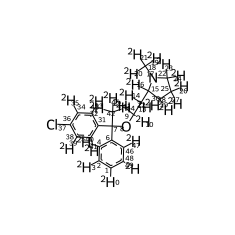 [2H]c1c([2H])c([2H])c(C(OC([2H])([2H])C([2H])([2H])C2([2H])N(C([2H])([2H])[2H])C([2H])([2H])C([2H])([2H])C2([2H])[2H])(c2c([2H])c([2H])c(Cl)c([2H])c2[2H])C([2H])([2H])[2H])c([2H])c1[2H]